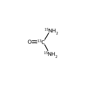 [15NH2][13C]([15NH2])=O